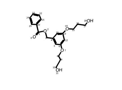 O=C(OCc1cc(OCCCO)cc(OCCCO)c1)c1ccccc1